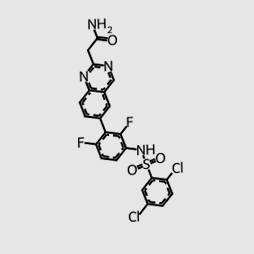 NC(=O)Cc1ncc2cc(-c3c(F)ccc(NS(=O)(=O)c4cc(Cl)ccc4Cl)c3F)ccc2n1